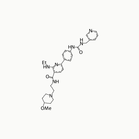 CCNc1nc(-c2ccc(NC(=O)NCc3cccnc3)cc2)ccc1C(=O)NCCN1CCC(OC)CC1